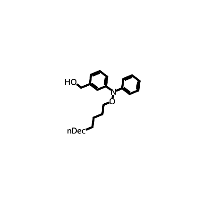 CCCCCCCCCCCCCCON(c1ccccc1)c1cccc(CO)c1